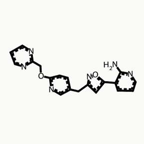 Nc1ncccc1-c1cc(Cc2ccc(OCc3ncccn3)nc2)no1